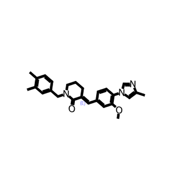 COc1cc(/C=C2\CCCN(Cc3ccc(C)c(C)c3)C2=O)ccc1-n1cnc(C)c1